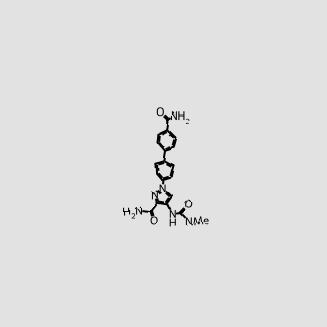 CNC(=O)Nc1cn(-c2ccc(-c3ccc(C(N)=O)cc3)cc2)nc1C(N)=O